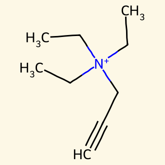 C#CC[N+](CC)(CC)CC